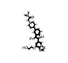 CC(C)c1c(-c2cc(OCCO)c3ncnn3c2)[nH]c2ccc(C3CCN(CC(=O)N(C)C)CC3)cc12